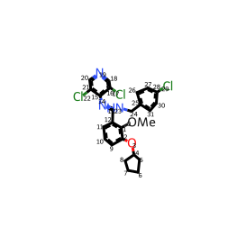 COc1c(OC2CCCC2)cccc1C(=Nc1c(Cl)cncc1Cl)NCc1ccc(Cl)cc1